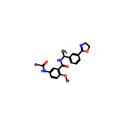 CCOc1ccc(NC(=O)C(C)C)cc1C(=O)NC(C)c1cccc(C2=NCCO2)c1